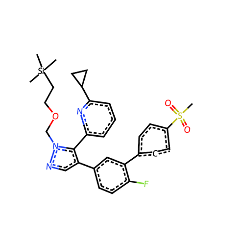 C[Si](C)(C)CCOCn1ncc(-c2ccc(F)c(-c3ccc(S(C)(=O)=O)cc3)c2)c1-c1cccc(C2CC2)n1